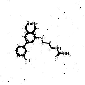 N#Cc1cccc(-c2cc(NCCCNC(N)=O)c3cnccc3c2)c1